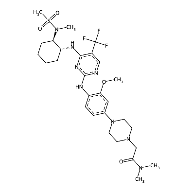 COc1cc(N2CCN(CC(=O)N(C)C)CC2)ccc1Nc1ncc(C(F)(F)F)c(N[C@@H]2CCCC[C@H]2N(C)S(C)(=O)=O)n1